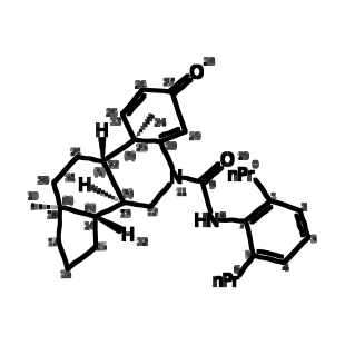 CCCc1cccc(CCC)c1NC(=O)N1C[C@H]2[C@@H]3CCC[C@@]3(C)CC[C@@H]2[C@@]2(C)C=CC(=O)C=C12